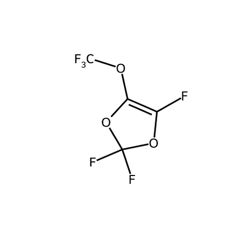 FC1=C(OC(F)(F)F)OC(F)(F)O1